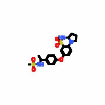 CC(NS(C)(=O)=O)c1ccc(Oc2ccc3c(c2)S(=O)(=O)NC2CCCN32)cc1